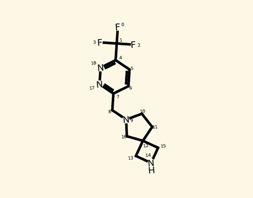 FC(F)(F)c1ccc(CN2CCC3(CNC3)C2)nn1